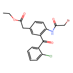 CCOC(=O)Cc1ccc(NC(=O)CBr)c(C(=O)c2ccccc2Cl)c1